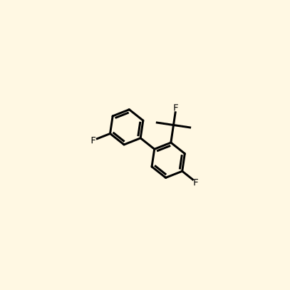 CC(C)(F)c1cc(F)ccc1-c1cccc(F)c1